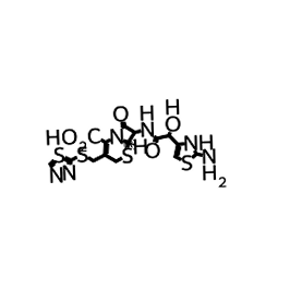 NC1NC(C(O)C(=O)NC2C(=O)N3C(C(=O)O)=C(CSc4nncs4)CS[C@H]23)=CS1